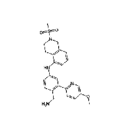 COc1ccc(-c2cc(Nc3cccc4c3CCN(S(C)(=O)=O)C4)ccc2CN)nc1